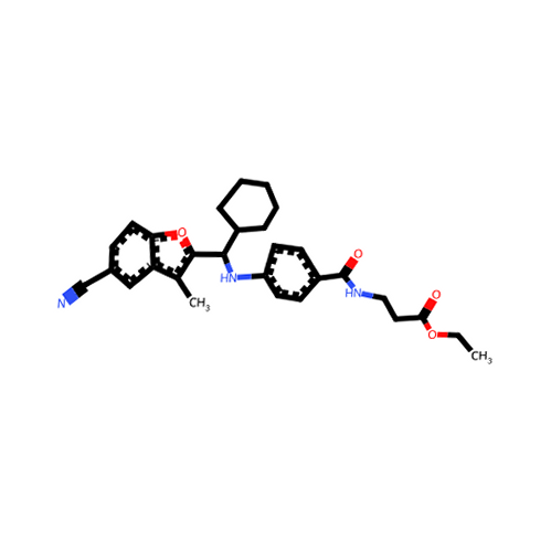 CCOC(=O)CCNC(=O)c1ccc(NC(c2oc3ccc(C#N)cc3c2C)C2CCCCC2)cc1